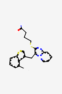 Cc1cccc2scc(Cc3c(SCCCC(N)=O)nc4ccccn34)c12